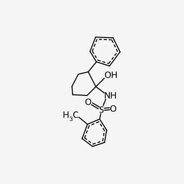 Cc1ccccc1S(=O)(=O)NC1(O)CCCCC1c1ccccc1